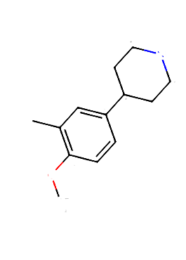 Cc1cc(C2CCNCC2)ccc1OC(F)(F)F